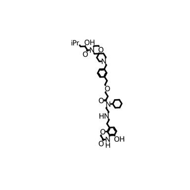 CC(C)C[C@H](O)C(=O)N1CCOC2(CCN(Cc3cccc(CCOCCC(=O)N(CCNCCc4ccc(O)c5c4OCC(=O)N5)C4CCCCC4)c3)CC2)C1